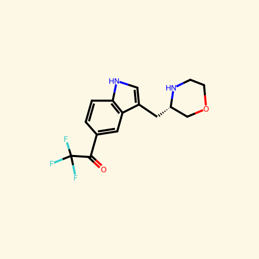 O=C(c1ccc2[nH]cc(C[C@H]3COCCN3)c2c1)C(F)(F)F